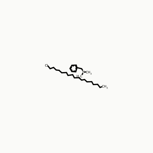 CCCCCCCCCCCCCCCCCCCl.CN(C)Cc1ccccc1